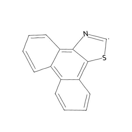 [c]1nc2c3ccccc3c3ccccc3c2s1